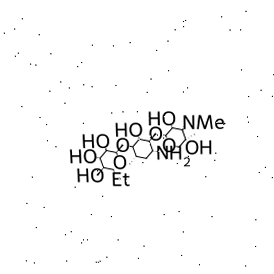 CC[C@H]1O[C@H](OC2[C@@H](C)C[C@@H](N)[C@H](O[C@H]3OC[C@](C)(O)[C@H](NC)[C@H]3O)[C@H]2O)[C@H](O)[C@@H](O)[C@@H]1O